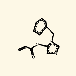 C=CC(=O)Oc1cncn1Cc1ccccc1